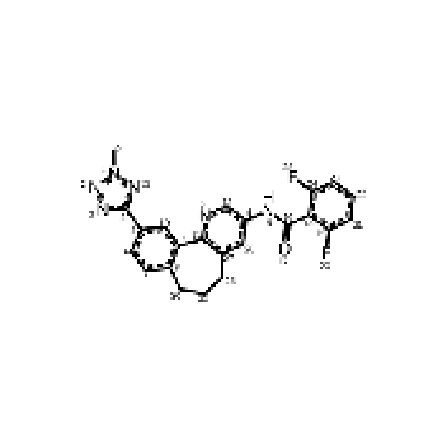 Cn1nnc(-c2ccc3c(c2)-c2ncc(NC(=O)c4c(F)cccc4F)cc2CCC3)n1